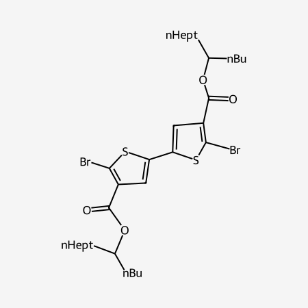 CCCCCCCC(CCCC)OC(=O)c1cc(-c2cc(C(=O)OC(CCCC)CCCCCCC)c(Br)s2)sc1Br